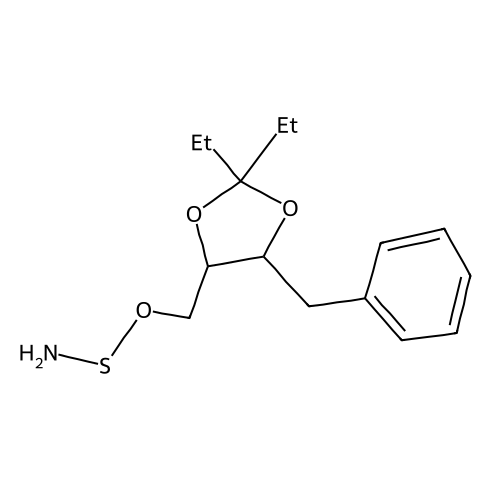 CCC1(CC)OC(COSN)C(Cc2ccccc2)O1